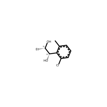 CC[C@H](O)[C@@H](O)c1c(C)cccc1Cl